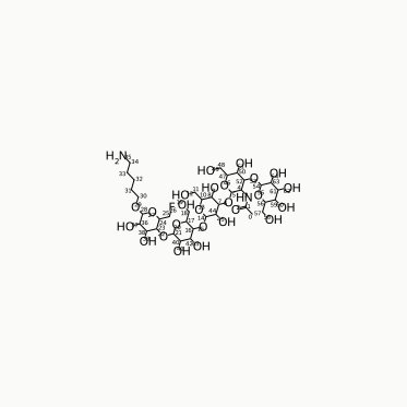 CC(=O)NC1C(OC2C(O)C(CO)OC(OC3C(CO)OC(OC4C(CF)OC(OCCCCCN)C(O)C4O)C(O)C3O)C2O)OC(CO)C(O)C1OC1OC(CO)C(O)C(O)C1O